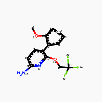 COc1ccccc1-c1ccc(N)nc1OCC(F)(F)F